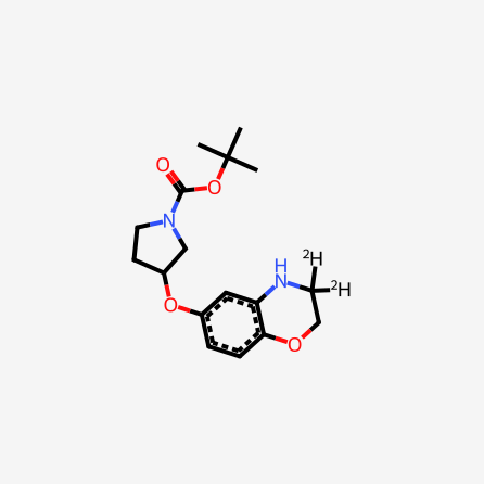 [2H]C1([2H])COc2ccc(OC3CCN(C(=O)OC(C)(C)C)C3)cc2N1